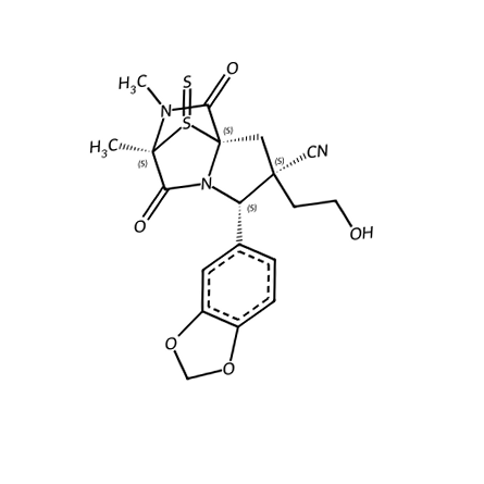 CN1C(=O)[C@@]23C[C@@](C#N)(CCO)[C@H](c4ccc5c(c4)OCO5)N2C(=O)[C@]1(C)S3=S